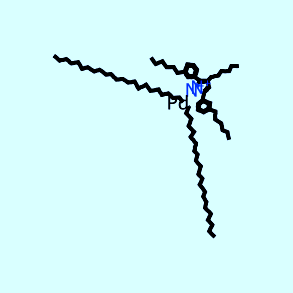 CCCCCCC1=C(c2cccc(CCCCCC)c2)[N+](=[N-])C(c2cccc(CCCCCC)c2)=C1.CCCCCCCCCCCCCCCCCCCCCC[CH2][Pd][CH2]CCCCCCCCCCCCCCCCCCCCCC